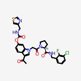 CC(=O)c1cn(CC(=O)N2CCC[C@H]2C(=O)NCc2cccc(Cl)c2F)c2cc(OC(=O)NCc3cscn3)ccc12